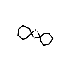 CCC1(SC2(CC)CCCCCC2)CCCCCC1